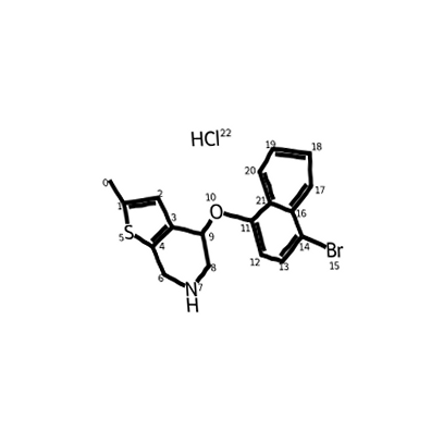 Cc1cc2c(s1)CNCC2Oc1ccc(Br)c2ccccc12.Cl